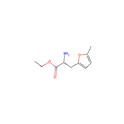 CCOC(=O)C(N)Cc1ccc(C)o1